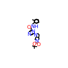 Cc1ccccc1CNC(=O)c1cncc(N2CCC3CN(C(=O)OC(C)(C)C)CC32)n1